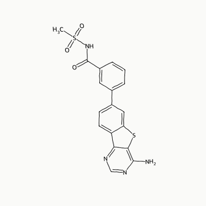 CS(=O)(=O)NC(=O)c1cccc(-c2ccc3c(c2)sc2c(N)ncnc23)c1